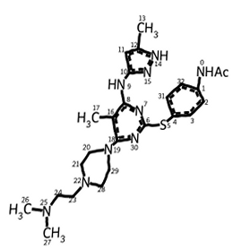 CC(=O)Nc1ccc(Sc2nc(Nc3cc(C)[nH]n3)c(C)c(N3CCN(CCN(C)C)CC3)n2)cc1